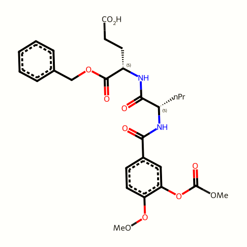 CCC[C@H](NC(=O)c1ccc(OOC)c(OC(=O)OC)c1)C(=O)N[C@@H](CCC(=O)O)C(=O)OCc1ccccc1